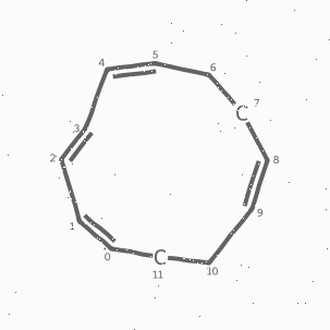 [C]1=C/C=C/C=C\CC/C=C\CC\1